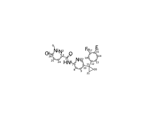 Cn1nc(C(=O)Nc2ccc(C3(c4ccc(F)c(F)c4)CC3)cn2)ccc1=O